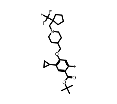 CC(C)(C)OC(=O)c1cc(C2CC2)c(OCC2CCN(CC3(C(F)(F)F)CCCC3)CC2)cc1F